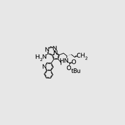 C=CC[C@@H](Cc1c(I)c(-c2cnc3ccccc3c2)c2c(N)ncnn12)NC(=O)OC(C)(C)C